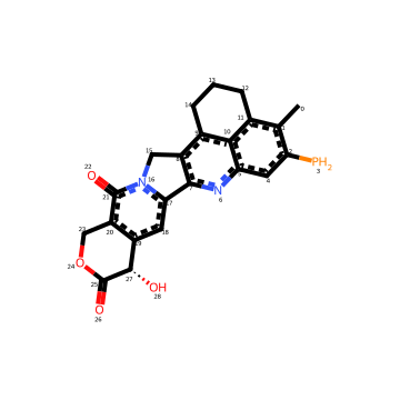 Cc1c(P)cc2nc3c(c4c2c1CCC4)Cn1c-3cc2c(c1=O)COC(=O)[C@H]2O